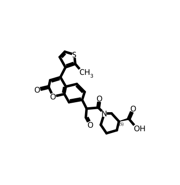 Cc1sccc1-c1cc(=O)oc2cc(C(C=O)C(=O)N3CCC[C@H](C(=O)O)C3)ccc12